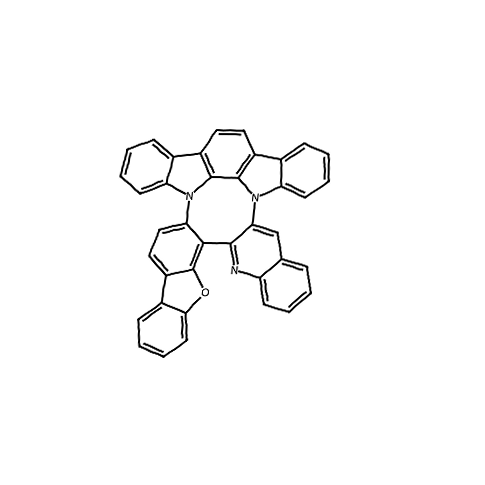 c1ccc2nc3c4c5oc6ccccc6c5ccc4n4c5ccccc5c5ccc6c7ccccc7n(c3cc2c1)c6c54